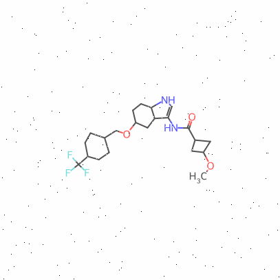 COC1CC(C(=O)NC2=CNC3CCC(OCC4CCC(C(F)(F)F)CC4)CC23)C1